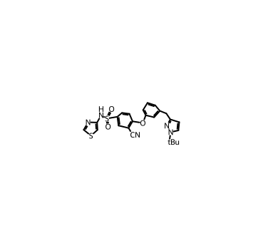 CC(C)(C)n1ccc(Cc2cccc(Oc3ccc(S(=O)(=O)Nc4cscn4)cc3C#N)c2)n1